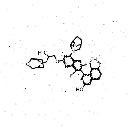 CCc1c(F)ccc2cc(O)cc(-c3c(F)cc4c(N5CC6CCC(C5)N6)nc(OCC(C)CN5C6CCC5COC6)nc4c3F)c12